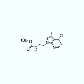 Cc1cn(CCNC(=O)OC(C)(C)C)c2ncnc(Cl)c12